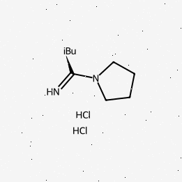 CC[C@H](C)C(=N)N1CCCC1.Cl.Cl